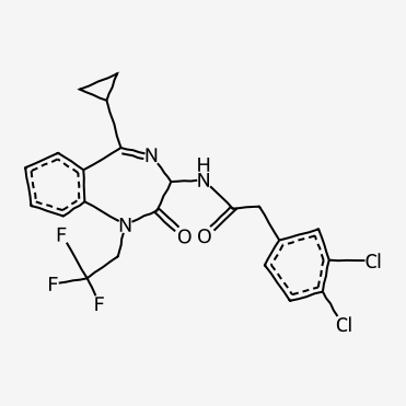 O=C(Cc1ccc(Cl)c(Cl)c1)NC1N=C(C2CC2)c2ccccc2N(CC(F)(F)F)C1=O